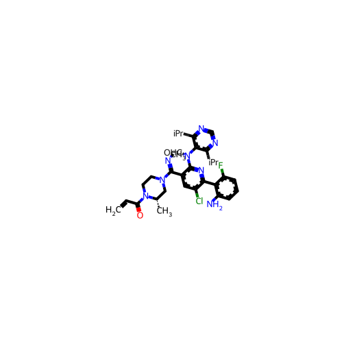 C=CC(=O)N1CCN(/C(=N/C)c2cc(Cl)c(-c3c(N)cccc3F)nc2N(C=O)c2c(C(C)C)ncnc2C(C)C)C[C@@H]1C